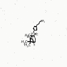 CCN(Cc1ccc(CCCN)cc1)C1CC[C@@H]2C[C@H]([C@H]1C)C2(C)C